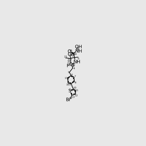 CC(NCCCc1ccc(-c2ccc(Br)s2)cc1)(C(=O)NO)C(C)(O)C(F)F